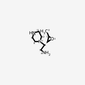 CC1CO1.NCCN1CCNCC1